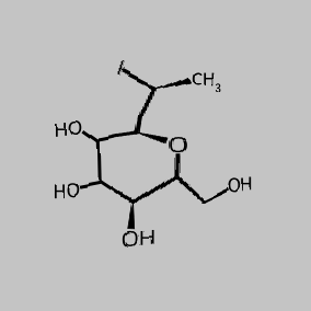 C[C@H](I)[C@H]1OC(CO)[C@@H](O)C(O)C1O